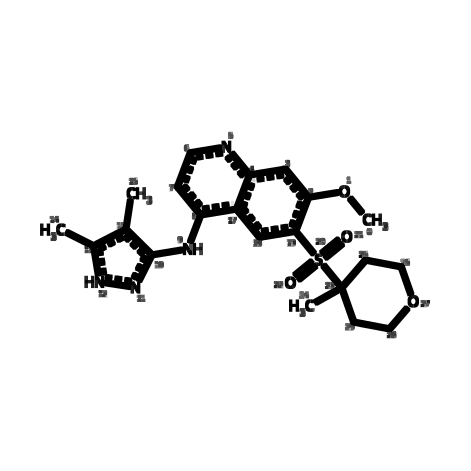 COc1cc2nccc(Nc3n[nH]c(C)c3C)c2cc1S(=O)(=O)C1(C)CCOCC1